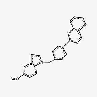 COc1ccc2c(ccn2Cc2ccc(-c3ncc4ccccc4n3)cc2)c1